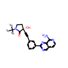 [2H]C([2H])([2H])N1CC[C@@](O)(C#Cc2cccc(-c3ncc4ccnc(N)c4n3)c2)C1=O